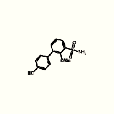 COc1c(-c2ccc(O)cc2)cccc1S(N)(=O)=O